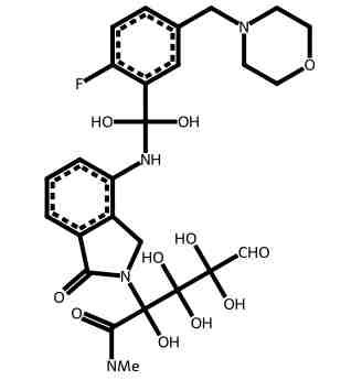 CNC(=O)C(O)(N1Cc2c(NC(O)(O)c3cc(CN4CCOCC4)ccc3F)cccc2C1=O)C(O)(O)C(O)(O)C=O